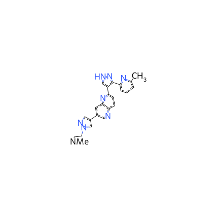 CNCCn1cc(-c2cnc3ccc(-c4c[nH]nc4-c4cccc(C)n4)nc3c2)cn1